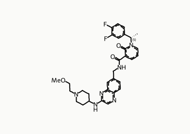 COCCN1CCC(Nc2cnc3ccc(CNC(=O)c4cccn([C@@H](C)c5ccc(F)c(F)c5)c4=O)cc3n2)CC1